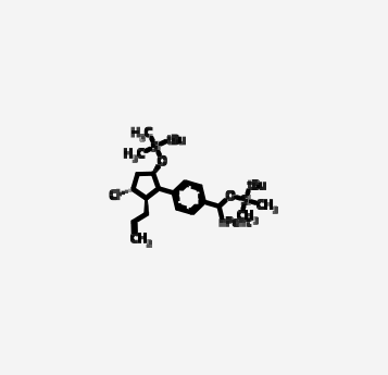 C=CC[C@@H]1C(c2ccc(C(CCCCC)O[Si](C)(C)C(C)(C)C)cc2)[C@H](O[Si](C)(C)C(C)(C)C)C[C@H]1Cl